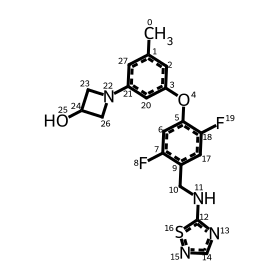 Cc1cc(Oc2cc(F)c(CNc3ncns3)cc2F)cc(N2CC(O)C2)c1